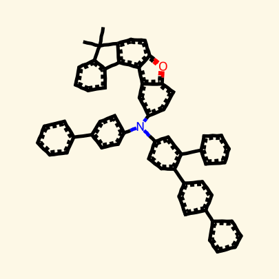 CC1(C)c2ccccc2-c2c1ccc1oc3ccc(N(c4ccc(-c5ccccc5)cc4)c4ccc(-c5ccc(-c6ccccc6)cc5)c(-c5ccccc5)c4)cc3c21